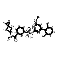 Cc1cccc(C)c1-c1cc(OF)nc(NS(=O)(=O)c2cccc(C(=O)N(C)C3CC4(CC4)C3)c2)n1